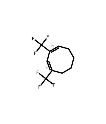 FC(F)(F)C1=C/CCCC/C(C(F)(F)F)=C\1